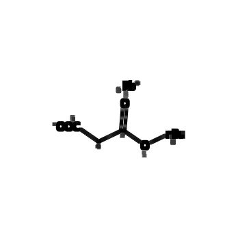 CCCCOC(=O)CC(=O)[O-].[Rb+]